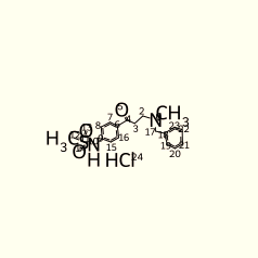 CN(CCC(=O)c1ccc(NS(C)(=O)=O)cc1)Cc1ccccc1.Cl